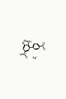 O=[N+]([O-])c1ccc(-c2cc([N+](=O)[O-])cc3nn[nH]c23)cc1.[Ag+]